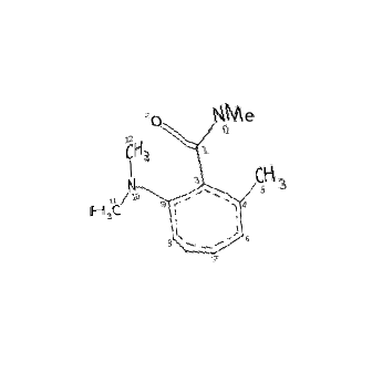 CNC(=O)c1c(C)cccc1N(C)C